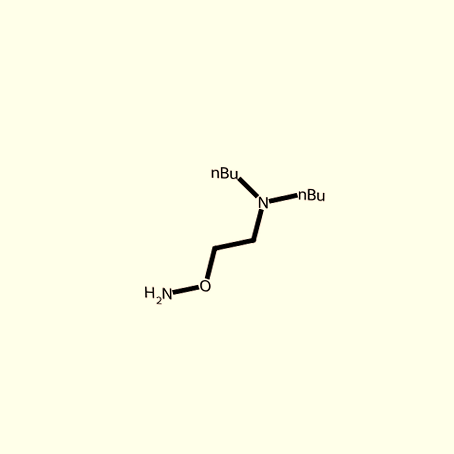 CCCCN(CCCC)CCON